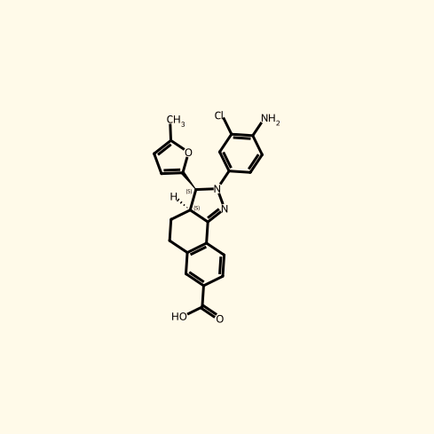 Cc1ccc([C@@H]2[C@@H]3CCc4cc(C(=O)O)ccc4C3=NN2c2ccc(N)c(Cl)c2)o1